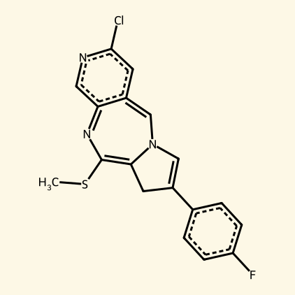 CSC1=C2CC(c3ccc(F)cc3)=CN2C=c2cc(Cl)ncc2=N1